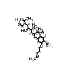 COCCCOc1cc(CC(CC(N)C(O)CN(C=O)C(C)C)C(C)C)ccc1OC.Cl